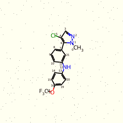 Cn1ncc(Cl)c1-c1cccc(Nc2ccc(OC(F)(F)F)cc2)c1